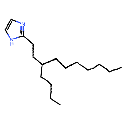 CCCCCCCC(CCCC)CCc1ncc[nH]1